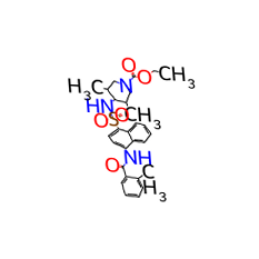 CCOC(=O)N1CC(C)C(NS(=O)(=O)c2ccc(NC(=O)c3ccccc3C)c3ccccc23)C(C)C1